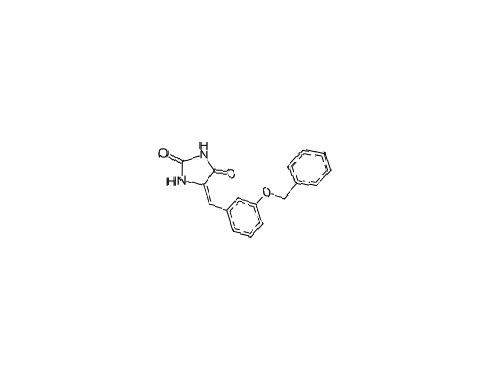 O=C1NC(=O)/C(=C\c2cccc(OCc3ccccc3)c2)N1